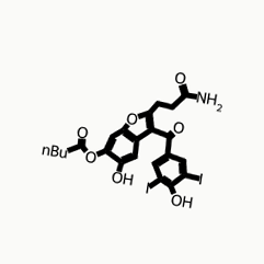 CCCCC(=O)Oc1cc2oc(CCC(N)=O)c(C(=O)c3cc(I)c(O)c(I)c3)c2cc1O